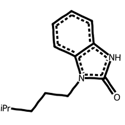 CC(C)CCCn1c(=O)[nH]c2ccccc21